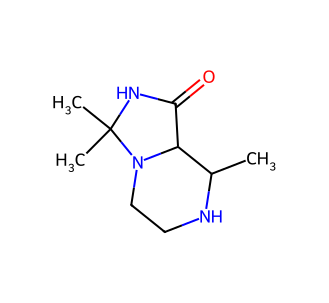 CC1NCCN2C1C(=O)NC2(C)C